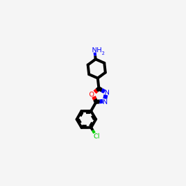 NC1CCC(c2nnc(-c3cccc(Cl)c3)o2)CC1